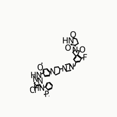 COc1cc(N2CCC(N3CCN(Cc4cc(F)c5c(c4)CN(C4CCC(=O)NC4=O)C5=O)CC3)CC2)ccc1Nc1ncc(Cl)c(Nc2ccccc2P(C)C)n1